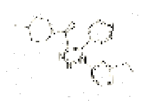 CCc1cccc(-n2nnc(C(=O)N3CCC(C)CC3)c2-c2ccncc2)c1